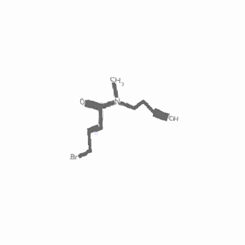 C#CCCN(C)C(=O)/C=C/CBr